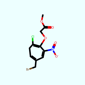 COC(=O)COC1=C(Cl)CC=C(CBr)C=C1[N+](=O)[O-]